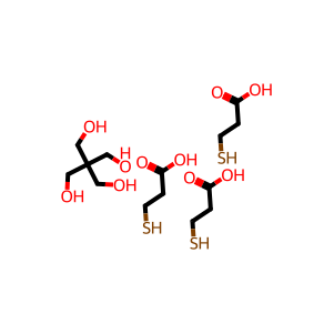 O=C(O)CCS.O=C(O)CCS.O=C(O)CCS.OCC(CO)(CO)CO